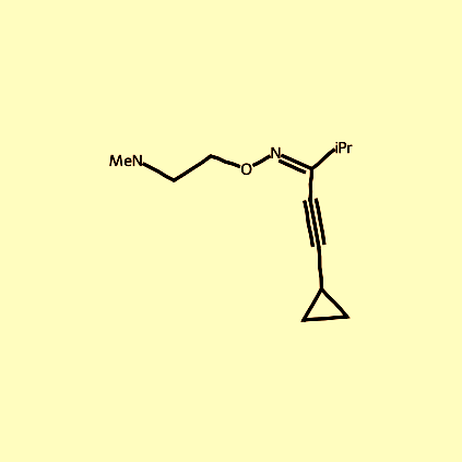 CNCCO/N=C(\C#CC1CC1)C(C)C